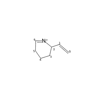 C=CC1CCCC=N1